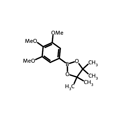 COc1cc(B2OC(C)(C)C(C)(C)O2)cc(OC)c1OC